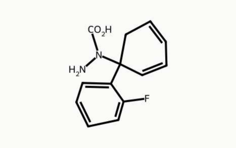 NN(C(=O)O)C1(c2ccccc2F)C=CC=CC1